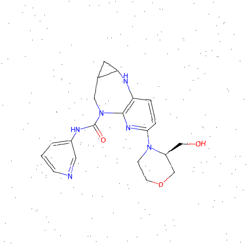 O=C(Nc1cccnc1)N1CC2CC2Nc2ccc(N3CCOC[C@@H]3CO)nc21